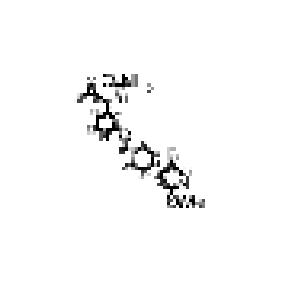 COc1cc([C@H]2CC[C@H](COc3cc([C@@H](CC(N)=O)C4CC4)ccn3)CC2)c(F)cn1